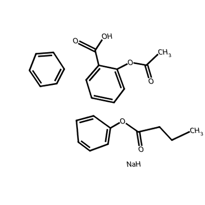 CC(=O)Oc1ccccc1C(=O)O.CCCC(=O)Oc1ccccc1.[NaH].c1ccccc1